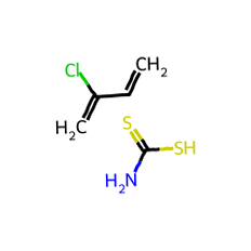 C=CC(=C)Cl.NC(=S)S